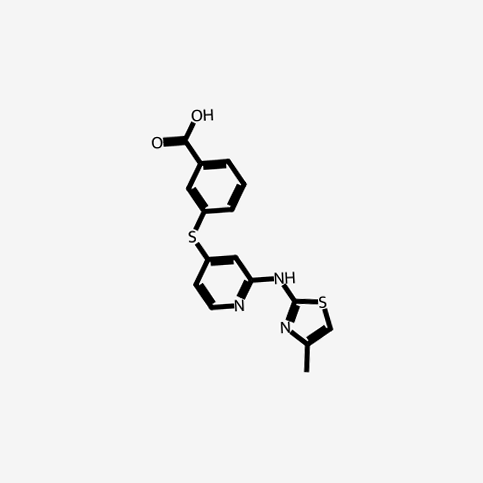 Cc1csc(Nc2cc(Sc3cccc(C(=O)O)c3)ccn2)n1